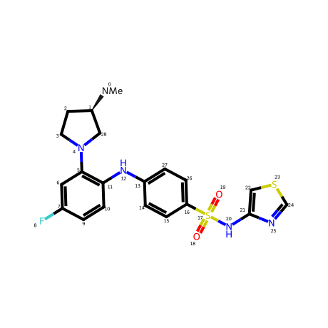 CN[C@@H]1CCN(c2cc(F)ccc2Nc2ccc(S(=O)(=O)Nc3cscn3)cc2)C1